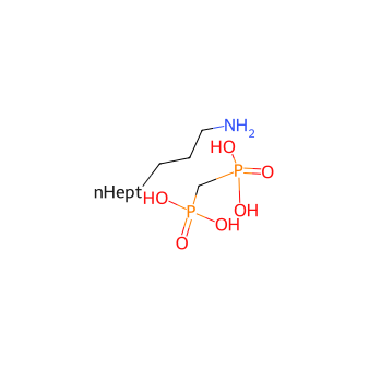 CCCCCCCCCCN.O=P(O)(O)CP(=O)(O)O